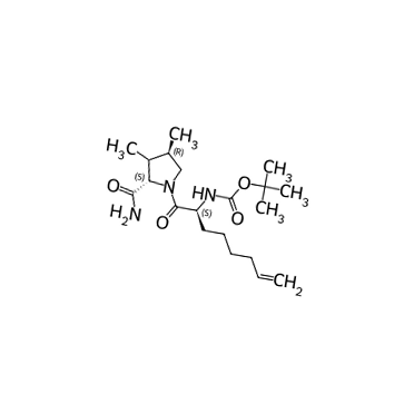 C=CCCCC[C@H](NC(=O)OC(C)(C)C)C(=O)N1C[C@H](C)C(C)[C@H]1C(N)=O